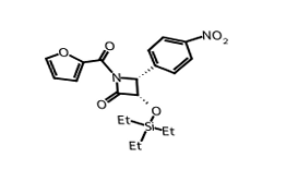 CC[Si](CC)(CC)O[C@@H]1C(=O)N(C(=O)c2ccco2)[C@@H]1c1ccc([N+](=O)[O-])cc1